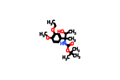 CCOc1cc(C(C)(NC(=O)OC(C)(C)C)C(C)O)ccc1OC